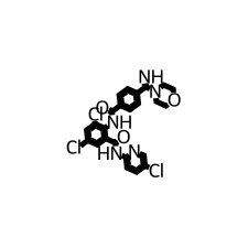 N=C(c1ccc(C(=O)Nc2c(Cl)cc(Cl)cc2C(=O)Nc2ccc(Cl)cn2)cc1)N1CCOCC1